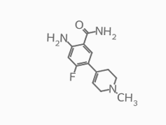 CN1CC=C(c2cc(C(N)=O)c(N)cc2F)CC1